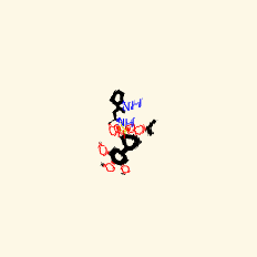 COc1cc(-c2ccc(OC(C)C)c(S(=O)(=O)N[C@@H](CO)Cc3c[nH]c4ccccc34)c2)cc(OC)c1OC